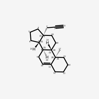 C#CC[C@@]12CCC[C@H]1[C@@H]1CC=C3CCCC[C@]3(C)[C@H]1CC2